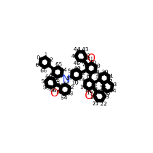 c1ccc(-c2ccc(N(c3ccc(-c4c(-c5ccc6oc7ccccc7c6c5-c5cccc6ccccc56)ccc5oc6ccccc6c45)cc3)c3cccc4oc5ccccc5c34)cc2)cc1